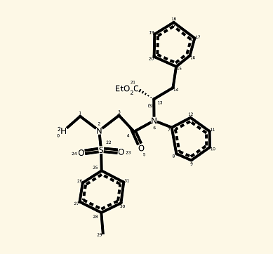 [2H]CN(CC(=O)N(c1ccccc1)[C@@H](Cc1ccccc1)C(=O)OCC)S(=O)(=O)c1ccc(C)cc1